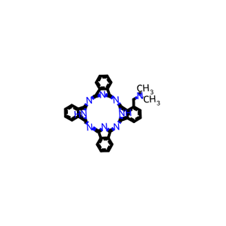 CN(C)Cc1cccc2c3nc4nc(nc5[nH]c(nc6nc(nc([nH]3)c12)-c1ccccc1-6)c1ccccc51)-c1ccccc1-4